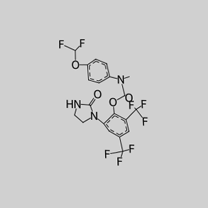 CN(C(=O)Oc1c(N2CCNC2=O)cc(C(F)(F)F)cc1C(F)(F)F)c1ccc(OC(F)F)cc1